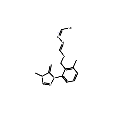 Cc1cccc(-n2nnn(C)c2=O)c1CSC=N/N=C\S